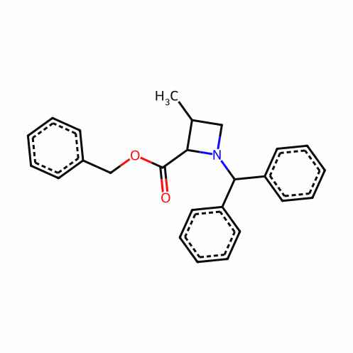 CC1CN(C(c2ccccc2)c2ccccc2)C1C(=O)OCc1ccccc1